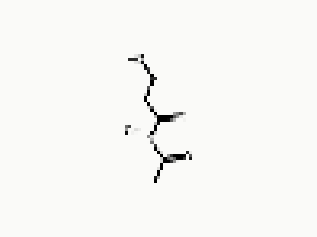 CC(=O)OC(=O)CCO.[Co]